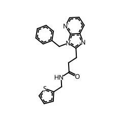 O=C(CCc1nc2cccnc2n1Cc1ccccc1)NCc1cccs1